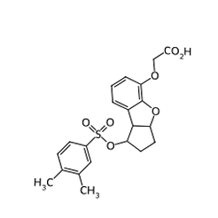 Cc1ccc(S(=O)(=O)OC2CCC3Oc4c(OCC(=O)O)cccc4C32)cc1C